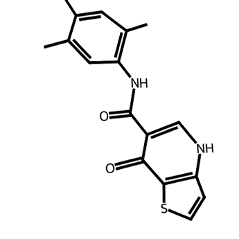 Cc1cc(C)c(NC(=O)c2c[nH]c3ccsc3c2=O)cc1C